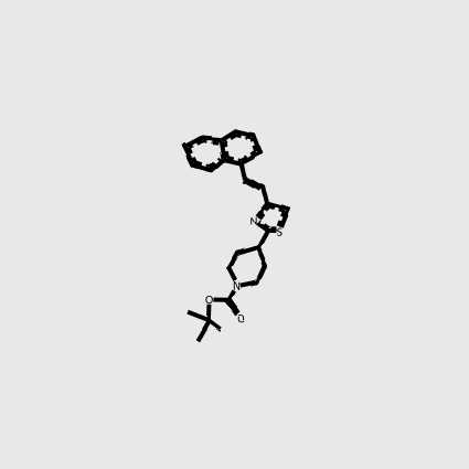 CC(C)(C)OC(=O)N1CCC(c2nc(C=Cc3cccc4ccccc34)cs2)CC1